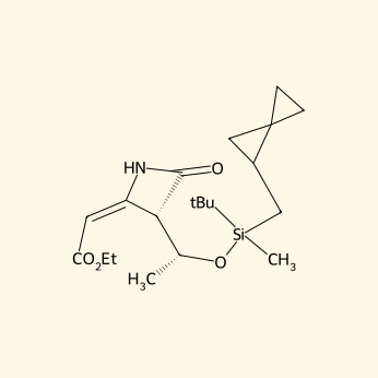 CCOC(=O)/C=C1/NC(=O)[C@@H]1[C@@H](C)O[Si](C)(CC1CC12CC2)C(C)(C)C